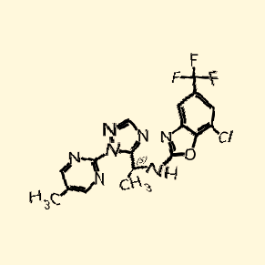 Cc1cnc(-n2ncnc2[C@H](C)Nc2nc3cc(C(F)(F)F)cc(Cl)c3o2)nc1